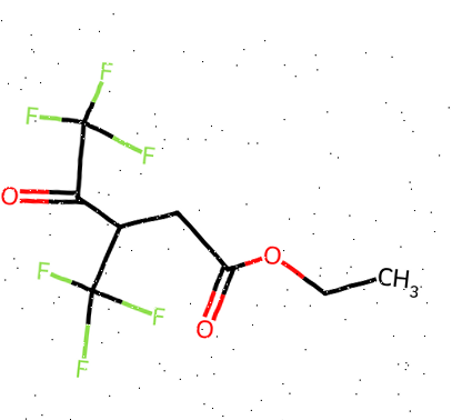 CCOC(=O)CC(C(=O)C(F)(F)F)C(F)(F)F